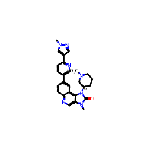 Cn1cc(-c2ccc(-c3ccc4ncc5c(c4c3)n([C@@H]3CCCN(C(=O)O)C3)c(=O)n5C)cn2)cn1